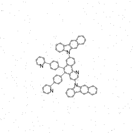 c1ccc(-c2ccc(-c3c(-c4ccc(-c5ccccn5)cc4)c4cc(-n5c6ccccc6c6cc7ccccc7cc65)cnc4c4ccc(-n5c6ccccc6c6cc7ccccc7cc65)cc34)cc2)nc1